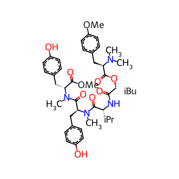 CC[C@H](C)[C@H](OC(=O)[C@@H](Cc1ccc(OC)cc1)N(C)C)C(=O)N[C@@H](C(=O)N(C)[C@@H](Cc1ccc(O)cc1)C(=O)N(C)[C@H](Cc1ccc(O)cc1)C(=O)OC)C(C)C